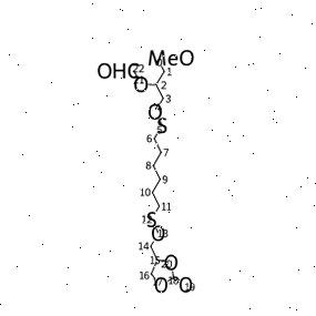 COCC(COSCCCCCCSOCC1COC(=O)O1)OC=O